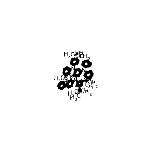 CC(C)(C)c1cc(N2c3cc(N(c4ccccc4)c4ccccc4)cc4c3B3c5c(cccc5[Si](C)(c5ccccc5)c5cccc2c53)N4c2ccc([Si](C)(C)C)cc2)cc(C(C)(C)C)c1